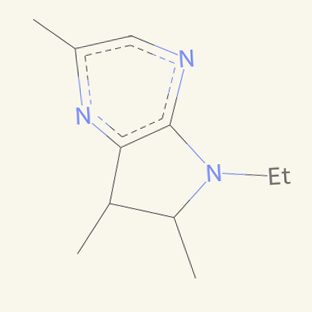 CCN1c2ncc(C)nc2C(C)C1C